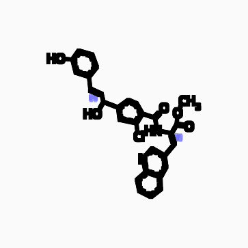 COC(=O)/C(=C/c1cnc2ccccc2c1)NC(=O)c1ccc(C(O)/C=C/c2cccc(O)c2)cc1Cl